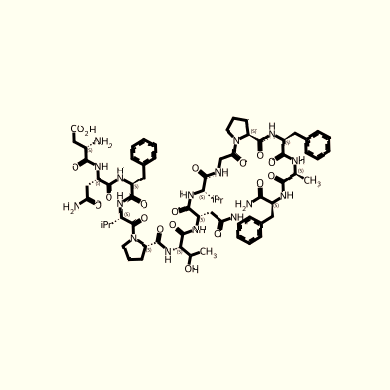 CC(C)[C@H](NC(=O)[C@H](CC(N)=O)NC(=O)[C@@H](NC(=O)[C@@H]1CCCN1C(=O)[C@@H](NC(=O)[C@H](Cc1ccccc1)NC(=O)[C@H](CC(N)=O)NC(=O)[C@@H](N)CC(=O)O)C(C)C)C(C)O)C(=O)NCC(=O)N1CCC[C@H]1C(=O)N[C@@H](Cc1ccccc1)C(=O)N[C@@H](C)C(=O)N[C@@H](Cc1ccccc1)C(N)=O